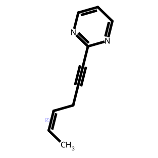 C/C=C\CC#Cc1ncccn1